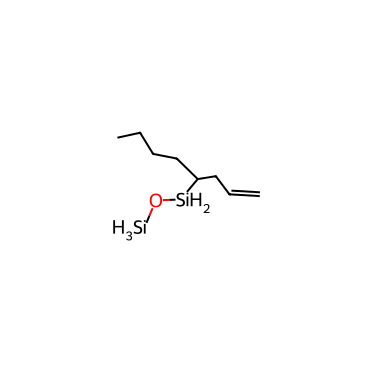 C=CCC(CCCC)[SiH2]O[SiH3]